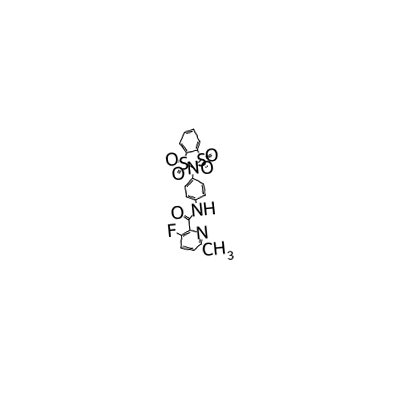 Cc1ccc(F)c(C(=O)Nc2ccc(N3S(=O)(=O)c4ccccc4S3(=O)=O)cc2)n1